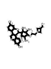 Bc1c(B)c(C2Oc3cc(C(F)(F)F)ccc3-c3cnc4cc(O)ccc4c32)c(B)c(B)c1OCCN1CC(CF)C1